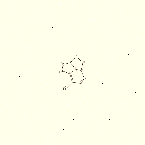 CC(C)c1ccc2c3c1OOC3CC2